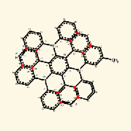 Cc1cccc(N(C2=C=C=CC=C2)c2c(C3=CC=CCC3)c(N(c3ccccc3)c3cccc(C)c3)c(-c3ccccc3)c(N(c3ccccc3)c3cccc(C)c3)c2-c2ccccc2)c1